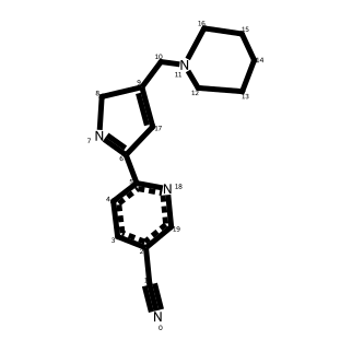 N#Cc1ccc(C2=NCC(CN3CCCCC3)=C2)nc1